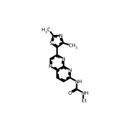 CCNC(=O)Nc1ccc2ncc(-c3sc(C)nc3C)nc2n1